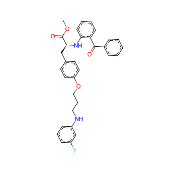 COC(=O)[C@H](Cc1ccc(OCCCNc2cccc(F)c2)cc1)Nc1ccccc1C(=O)c1ccccc1